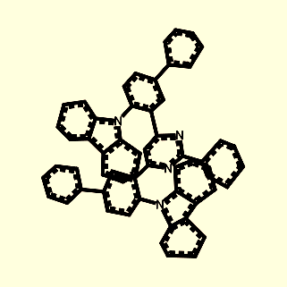 c1ccc(-c2ccc(-n3c4ccccc4c4ccccc43)c(-c3cc(-c4cc(-c5ccccc5)ccc4-n4c5ccccc5c5ccccc54)nc(-c4ccccc4)n3)c2)cc1